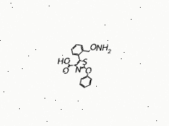 NOCc1ccccc1-c1sc(Oc2ccccc2)nc1C(=O)O